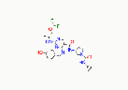 C[C@@H](COC(F)F)Nc1ncc(C(=O)N[C@H]2CCN(C(=O)NC3CC3)C2)c(/N=C\C2CCC(O)CC2)n1